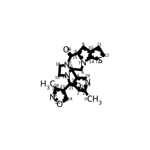 Cc1ccc(C23Cn4c(cc5ccsc54)C(=O)N2CCN3C(=O)c2conc2C)cn1